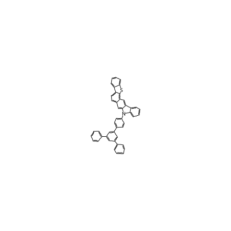 c1ccc(-c2cc(-c3ccccc3)cc(-c3ccc(-n4c5ccccc5c5cc6c(ccc7c8ccccc8sc67)cc54)cc3)c2)cc1